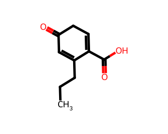 CCCC1=CC(=O)CC=C1C(=O)O